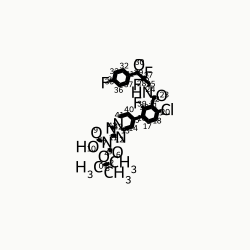 CC(C)(C)OC(=O)N(C(=O)O)c1nc2cc(-c3ccc(Cl)c(C(=O)NCC(F)(F)C(=O)c4ccc(F)cc4)c3F)ccn2n1